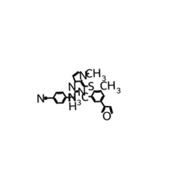 Cc1cc(-c2ccoc2)cc(C)c1Sc1nc(Nc2ccc(C#N)cc2)nc2ccn(C)c12